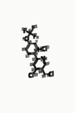 Cl.FC(F)(F)Oc1ccc(-c2cc(Cl)c(CCl)cn2)cc1